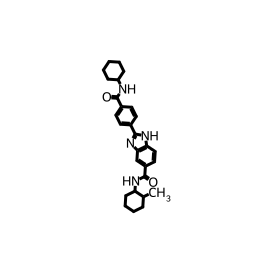 CC1CCCCC1NC(=O)c1ccc2[nH]c(-c3ccc(C(=O)NC4CCCCC4)cc3)nc2c1